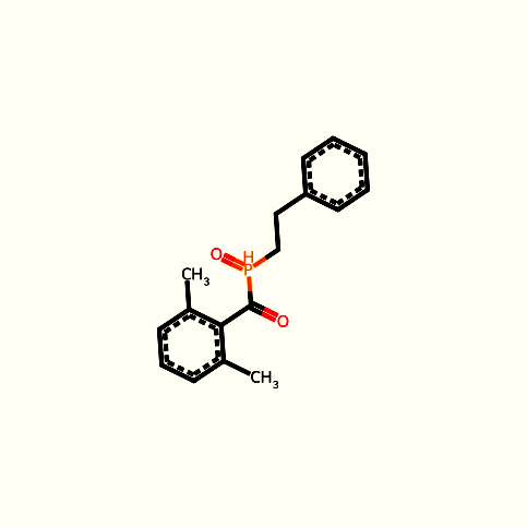 Cc1cccc(C)c1C(=O)[PH](=O)CCc1ccccc1